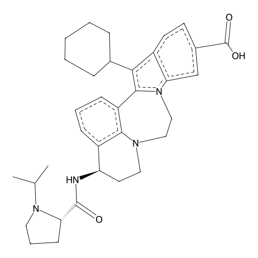 CC(C)N1CCC[C@H]1C(=O)N[C@@H]1CCN2CCn3c(c(C4CCCCC4)c4ccc(C(=O)O)cc43)-c3cccc1c32